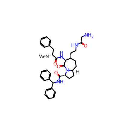 CN[C@H](Cc1ccccc1)C(=O)N[C@@H]1C(=O)N2[C@@H](CC[C@@H]1CCNC(=O)CN)CC[C@H]2C(=O)NC(c1ccccc1)c1ccccc1